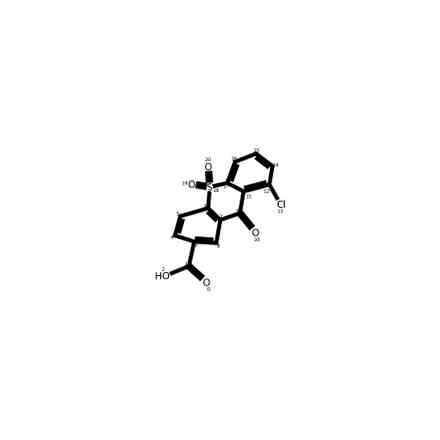 O=C(O)c1ccc2c(c1)C(=O)c1c(Cl)cccc1S2(=O)=O